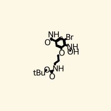 CC(C)(C)OC(=O)NCCCOc1cc(C(N)=O)cc(Br)c1NO